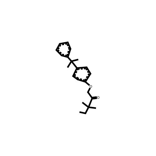 CCC(C)(C)C(=O)COc1ccc(C(C)(C)c2ccccc2)cc1